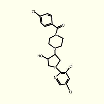 O=C(c1ccc(Cl)cc1)N1CCN(C2CN(c3ncc(Cl)cc3Cl)CC2O)CC1